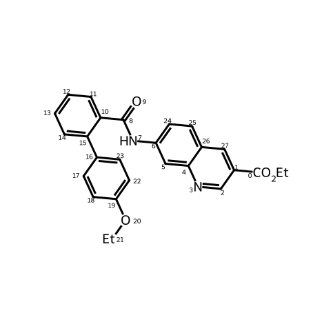 CCOC(=O)c1cnc2cc(NC(=O)c3ccccc3-c3ccc(OCC)cc3)ccc2c1